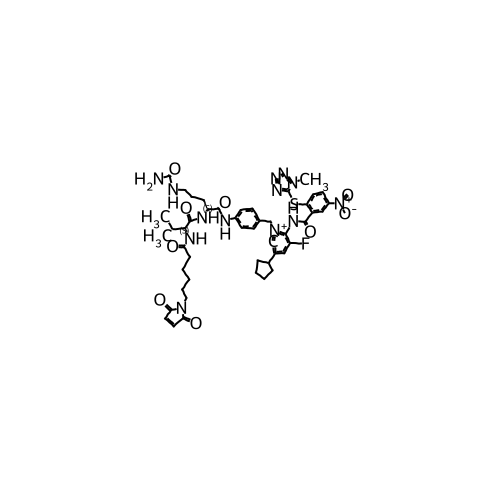 CC(C)[C@H](NC(=O)CCCCCN1C(=O)C=CC1=O)C(=O)N[C@@H](CCCNC(N)=O)C(=O)Nc1ccc(C[n+]2cc(C3CCCC3)cc(F)c2NC(=O)c2cc([N+](=O)[O-])ccc2Sc2nnnn2C)cc1